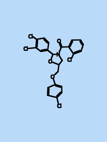 O=C(c1ccccc1Cl)N1CC(COc2ccc(Cl)cc2)OC1c1ccc(Cl)c(Cl)c1